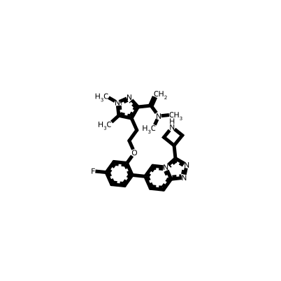 C=C(c1nn(C)c(C)c1CCOc1cc(F)ccc1-c1ccc2nnc(C3CNC3)n2c1)N(C)C